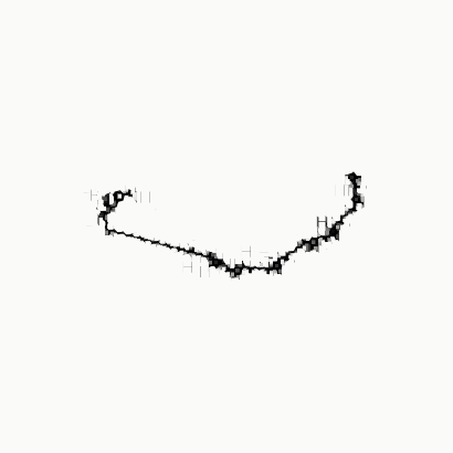 CCN(CCN(C)CCCCCOCCOCCOCCOCONC(=O)CCNC(=O)c1nc(NC(=O)c2cc(NC(=O)CCNC(=O)c3nc(NC(=O)CCCNC(=O)c4cc(NC(=O)c5nc(NC(=O)CCNC(=O)c6cc(NC(=O)c7nccn7C)cn6C)cn5C)cn4C)cn3C)cn2C)cn1C)C(=O)CN(Cc1cc(C(N)=O)ccn1)C(=O)OC(C)(C)C